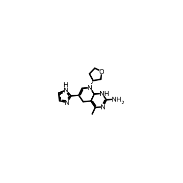 CC1=C2CC(c3ncc[nH]3)=CN([C@@H]3CCOC3)C2NC(N)=N1